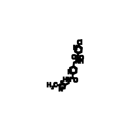 Cc1ncc(CNC(=O)c2ccc(CNS(=O)(=O)c3ccc(Cl)nc3)cn2)s1